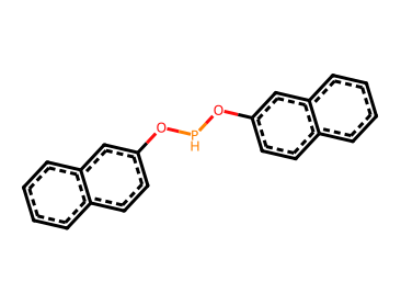 c1ccc2cc(OPOc3ccc4ccccc4c3)ccc2c1